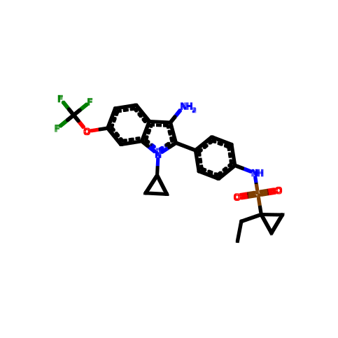 CCC1(S(=O)(=O)Nc2ccc(-c3c(N)c4ccc(OC(F)(F)F)cc4n3C3CC3)cc2)CC1